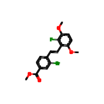 COC(=O)c1ccc(C=Cc2c(OC)ccc(OC)c2F)c(Br)c1